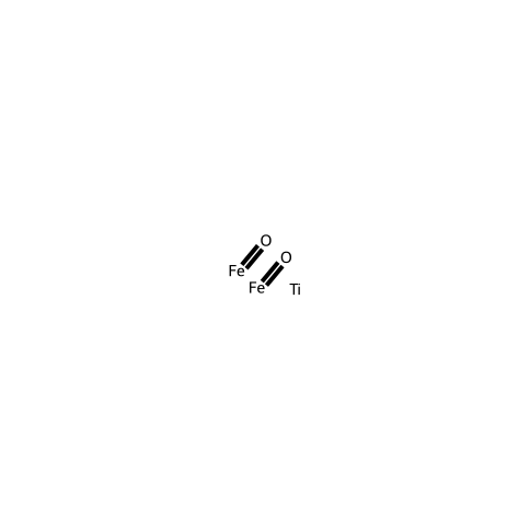 [O]=[Fe].[O]=[Fe].[Ti]